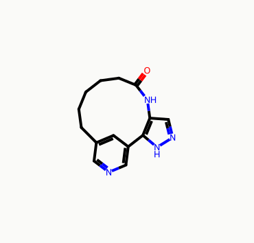 O=C1CCCCCc2cncc(c2)-c2[nH]ncc2N1